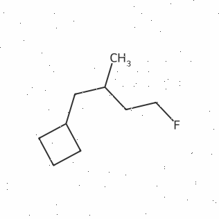 CC(CCF)CC1CCC1